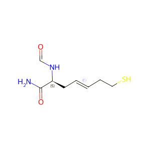 NC(=O)[C@H](C/C=C/CCS)NC=O